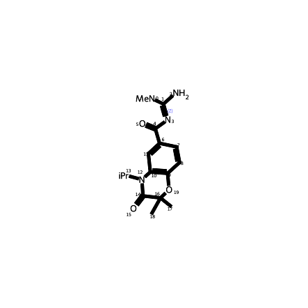 CN/C(N)=N\C(=O)c1ccc2c(c1)N(C(C)C)C(=O)C(C)(C)O2